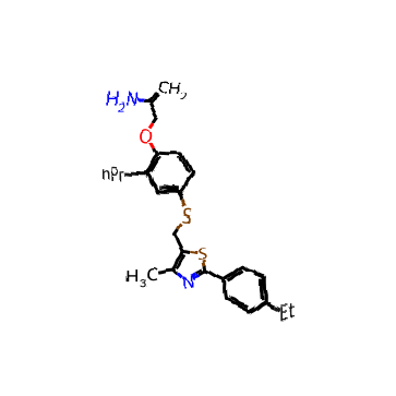 C=C(N)COc1ccc(SCc2sc(-c3ccc(CC)cc3)nc2C)cc1CCC